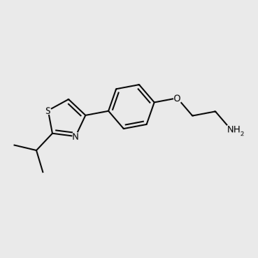 CC(C)c1nc(-c2ccc(OCCN)cc2)cs1